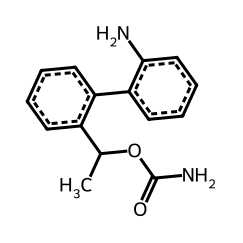 CC(OC(N)=O)c1ccccc1-c1ccccc1N